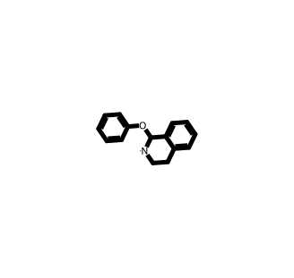 c1ccc(OC2[N]CCc3ccccc32)cc1